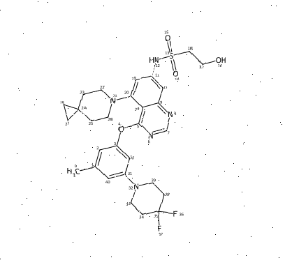 Cc1cc(Oc2ncnc3cc(NS(=O)(=O)CCO)cc(N4CCC5(CC4)CC5)c23)cc(N2CCC(F)(F)CC2)c1